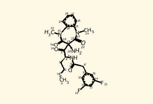 CSCC[C@H](NC(=O)Cc1cc(F)cc(F)c1)C(=O)C1(N)C(=O)N(C)c2ccccc2N(C)C1=O